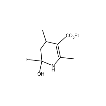 CCOC(=O)C1=C(C)NC(O)(F)CC1C